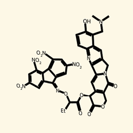 CCC(ON=C1c2cc([N+](=O)[O-])cc([N+](=O)[O-])c2-c2c1cc([N+](=O)[O-])cc2[N+](=O)[O-])C(=O)O[C@@H]1C(=O)OCc2c1cc1n(c2=O)Cc2cc3c(CN(C)C)c(O)ccc3nc2-1